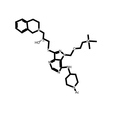 CC(=O)N1CCC(Nc2ncnc3c(SC[C@H](O)CN4CCc5ccccc5C4)nn(COCC[Si](C)(C)C)c23)CC1